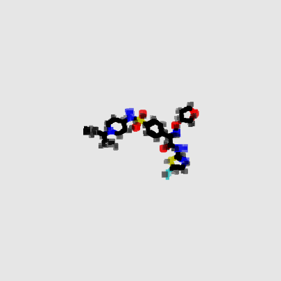 CC(C)N1CCC(NS(=O)(=O)c2ccc(/C(=N\O[C@@H]3CCOC3)C(=O)Nc3ncc(F)s3)cc2)CC1